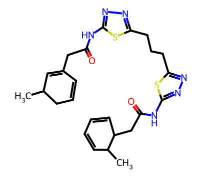 CC1C=C(CC(=O)Nc2nnc(CCCc3nnc(NC(=O)CC4C=CC=CC4C)s3)s2)C=CC1